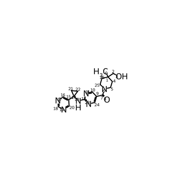 CC1(CO)CCN(C(=O)c2cnc(NC3(c4cncnc4)CC3)nc2)CC1